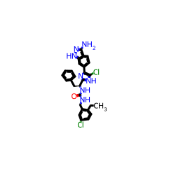 CCc1ccc(Cl)cc1CNC(=O)N[C@@H](Cc1ccccc1)c1nc(-c2ccc3c(N)n[nH]c3c2)c(Cl)[nH]1